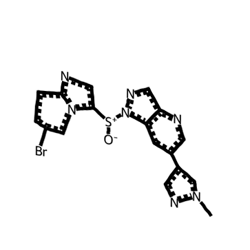 Cn1cc(-c2cnc3cnn([S+]([O-])c4cnc5ccc(Br)cn45)c3c2)cn1